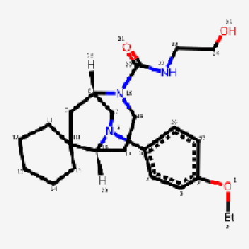 CCOc1ccc(N2C[C@@H]3CC4(CCCCC4)[C@H]2CCN3C(=O)NCCO)cc1